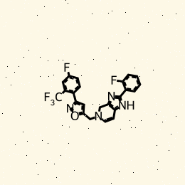 Fc1ccc(-c2cc(CN3C=Cc4[nH]c(-c5ccccc5F)nc4C3)on2)c(C(F)(F)F)c1